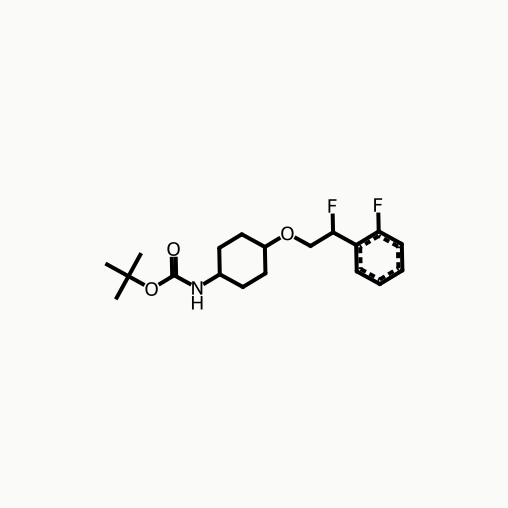 CC(C)(C)OC(=O)NC1CCC(OCC(F)c2ccccc2F)CC1